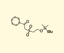 CC(C)(C)[Si](C)(C)OCCS(=O)(=O)CC(=O)c1ccccc1